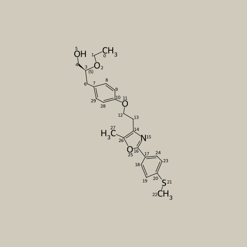 CCO[C@H](CO)Cc1ccc(OCCc2nc(-c3ccc(SC)cc3)oc2C)cc1